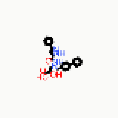 O=C(NN(Cc1ccc(-c2ccccc2)cc1)CC(O)C(=O)O)c1cc(-c2ccccc2)n[nH]1